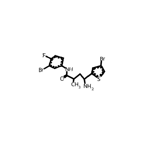 CC(CC(N)c1cc(Br)cs1)C(=O)Nc1ccc(F)c(Br)c1